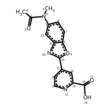 CC(=O)N(C)c1ccc2oc(-c3ccnc(C(=O)O)c3)nc2c1